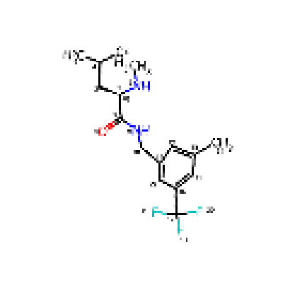 CN[C@H](CC(C)C)C(=O)NCc1cc(C)cc(C(F)(F)F)c1